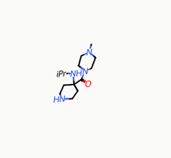 CC(C)NC1(C(=O)N2CCN(C)CC2)CCNCC1